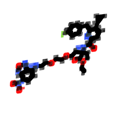 CCOC(=O)C(CC)(CCOCCOCCNc1ccc([N+](=O)[O-])c2nonc12)NC(=O)c1ccc(C2CC2)c(Cc2ccc(F)cc2)n1